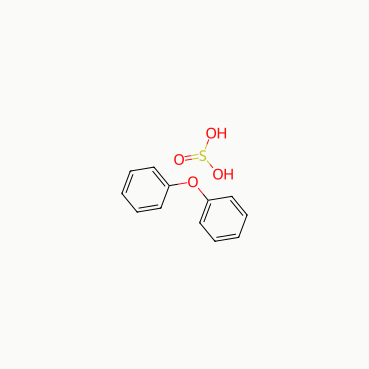 O=S(O)O.c1ccc(Oc2ccccc2)cc1